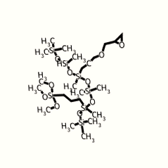 CO[Si](CCC[Si](C)(O[Si](C)(C)C)O[Si](C)(C)O[Si](C)(CCCOCC1CO1)O[SiH](C)O[Si](C)(C)C)(OC)OC